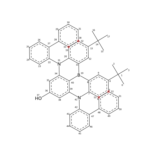 CC(C)(C)c1ccc2c(c1)B1c3cc(C(C)(C)C)ccc3N(c3ccccc3-c3ccccc3)c3cc(O)cc(c31)N2c1ccccc1-c1ccccc1